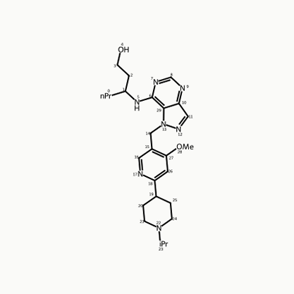 CCCC(CCO)Nc1ncnc2cnn(Cc3cnc(C4CCN(C(C)C)CC4)cc3OC)c12